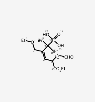 CCOCC(=CC(NC=O)C(=O)OCC)C(C(C)C)(C(C)C)P(=O)(O)O